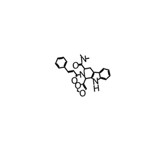 CN(C)C(=O)C1Cc2c([nH]c3ccccc23)C(C2=COCO2)N1C(=O)C=Cc1ccccc1